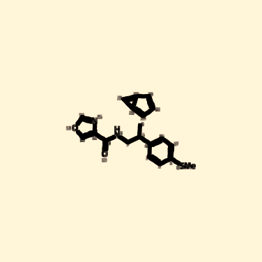 CSc1ccc(C(C)CNC(=O)c2cocn2)cc1.c1cc2cc-2c1